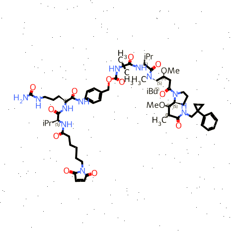 CC[C@H](C)[C@@H]([C@@H](CC(=O)N1CCC[C@H]1[C@H](OC)[C@@H](C)C(=O)NCC1(c2ccccc2)CC1)OC)N(C)C(=O)[C@@H](NC(=O)C(C)(C)NC(=O)OCc1ccc(NC(=O)[C@H](CCCNC(N)=O)NC(=O)[C@@H](NC(=O)CCCCCN2C(=O)C=CC2=O)C(C)C)cc1)C(C)C